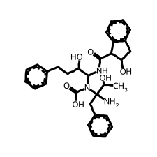 CC(O)C(N)(Cc1ccccc1)N(C(=O)O)C(NC(=O)C1c2ccccc2CC1O)C(O)CCc1ccccc1